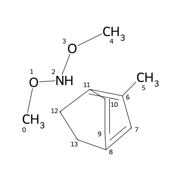 CONOC.Cc1cc2ccc1CC2